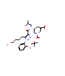 COCCCCc1c(C(=O)N(CC(C)C)[C@@H]2CN(C(=O)OC(C)(C)C)C[C@](C)(C(=O)O)C2)nnn1-c1ccccc1OC